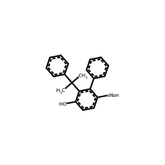 CCCCCCCCCc1ccc(O)c(C(C)(C)c2ccccc2)c1-c1ccccc1